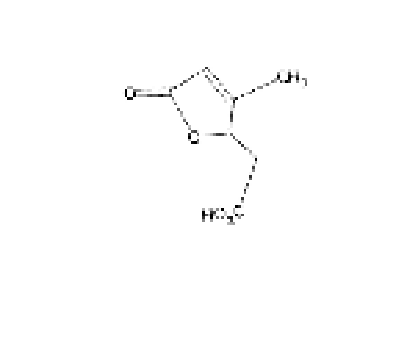 CC1=CC(=O)OC1CC(=O)O